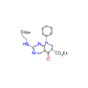 CCOC(=O)c1cn(-c2ccccc2)c2nc(NCCOC)ncc2c1=O